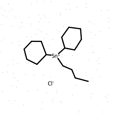 CCC[CH2][Sn+]([CH]1CCCCC1)[CH]1CCCCC1.[Cl-]